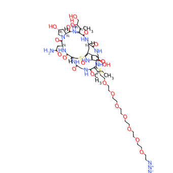 CC[C@H](C)[C@@H]1NC(=O)CNC(=O)[C@@H]2Cc3c([nH]c4c(CSCCOCCOCCOCCOCCOCCOCCOCCN=[N+]=[N-])c(O)ccc34)[S+]([O-])C[C@H](NC(=O)CNC1=O)C(=O)N[C@@H](CC(N)=O)C(=O)N1C[C@H](O)C[C@H]1C(=O)N[C@@H]([C@@H](C)[C@@H](O)CO)C(=O)N2